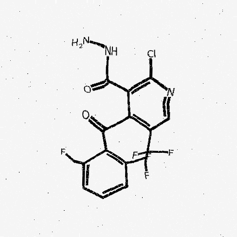 NNC(=O)c1c(Cl)ncc(C(F)(F)F)c1C(=O)c1c(F)cccc1F